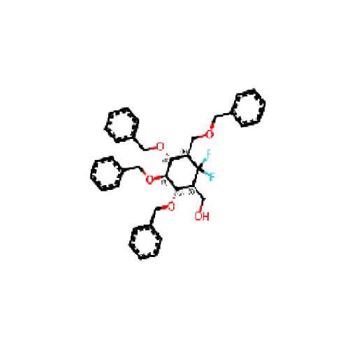 OC[C@H]1[C@H](OCc2ccccc2)[C@@H](OCc2ccccc2)[C@H](OCc2ccccc2)[C@@H](COCc2ccccc2)C1(F)F